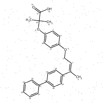 CC(=CCOc1ccc(OC(C)(C)C(=O)O)cc1)c1ccc(-c2ccccc2)cc1